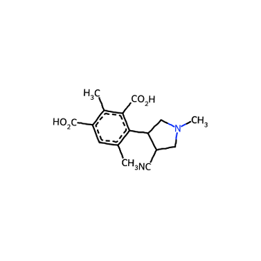 Cc1cc(C(=O)O)c(C)c(C(=O)O)c1C1CN(C)CC1C#N